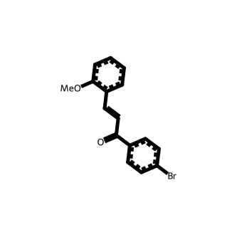 COc1ccccc1C=CC(=O)c1ccc(Br)cc1